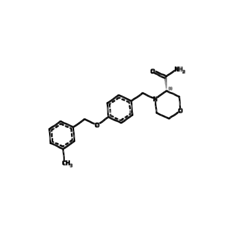 Cc1cccc(COc2ccc(CN3CCOC[C@H]3C(N)=O)cc2)c1